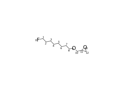 FCCCCCCCCOCC1CO1